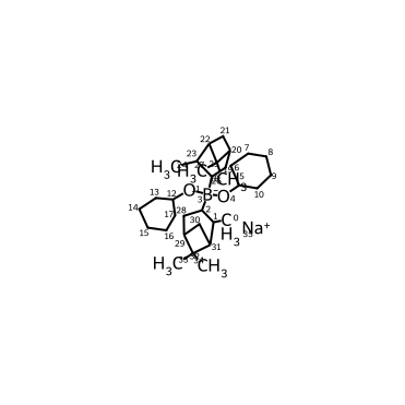 CC1C([B-](OC2CCCCC2)(OC2CCCCC2)C2CC3CC(C2C)C3(C)C)CC2CC1C2(C)C.[Na+]